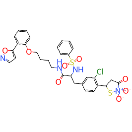 O=C(NCCCCOc1ccccc1-c1ccno1)C(Cc1ccc(C2CC(=O)[N+]([O-])([O-])S2)c(Cl)c1)NS(=O)(=O)c1ccccc1